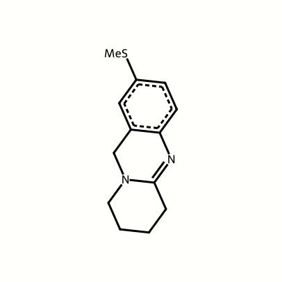 CSc1ccc2c(c1)CN1CCCCC1=N2